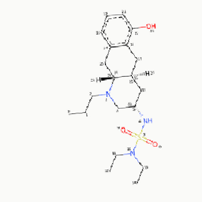 CCCN1C[C@@H](NS(=O)(=O)N(CC)CC)C[C@@H]2Cc3c(O)cccc3C[C@H]21